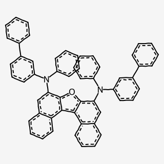 c1ccc(-c2cccc(N(c3ccccc3)c3cc4ccccc4c4c3oc3c(N(c5ccccc5)c5cccc(-c6ccccc6)c5)cc5ccccc5c34)c2)cc1